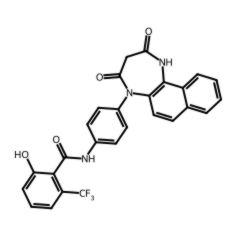 O=C1CC(=O)N(c2ccc(NC(=O)c3c(O)cccc3C(F)(F)F)cc2)c2ccc3ccccc3c2N1